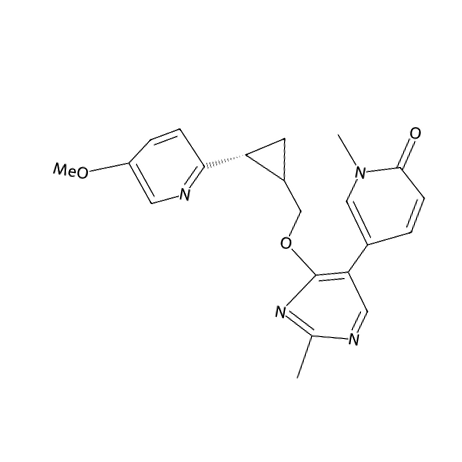 COc1ccc([C@@H]2CC2COc2nc(C)ncc2-c2ccc(=O)n(C)c2)nc1